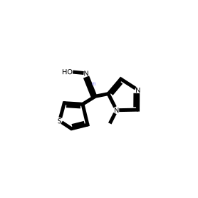 Cn1cncc1/C(=N/O)c1ccsc1